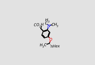 CCCCCC[C@H](C)Oc1ccc(CC(=O)O)c(N(C)C)c1